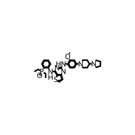 CCP(=O)(CC)c1ccccc1Nc1nc(Nc2ccc(N3CCC(N4CCCC4)CC3)cc2OC)nc2ccsc12